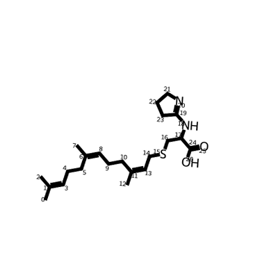 CC(C)=CCCC(C)=CCCC(C)=CCSCC(NC1=NCCC1)C(=O)O